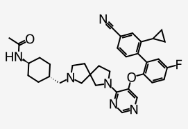 CC(=O)N[C@H]1CC[C@H](CN2CCC3(CCN(c4ncncc4Oc4ccc(F)cc4-c4ccc(C#N)cc4C4CC4)C3)C2)CC1